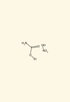 CCOC(N)=O.O=[N+]([O-])O